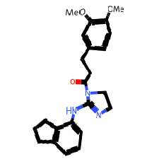 COc1ccc(CCC(=O)N2CCN=C2Nc2cccc3c2CCC3)cc1OC